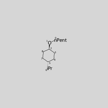 CCCCCO[C@H]1CC[C@H](C(C)C)CC1